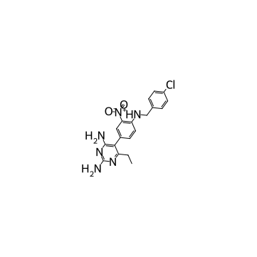 CCc1nc(N)nc(N)c1-c1ccc(NCc2ccc(Cl)cc2)c([N+](=O)[O-])c1